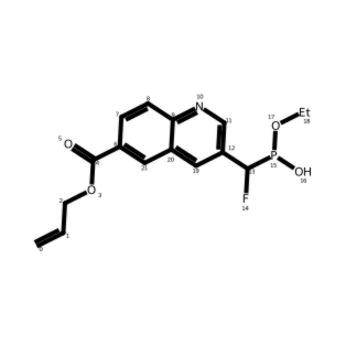 C=CCOC(=O)c1ccc2ncc(C(F)P(O)OCC)cc2c1